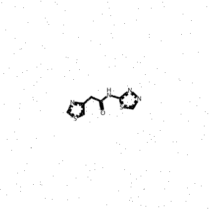 O=C(Cc1cscn1)Nc1nncs1